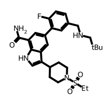 CCS(=O)(=O)N1CCC(c2c[nH]c3c(C(N)=O)cc(-c4cc(CNCC(C)(C)C)ccc4F)cc23)CC1